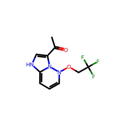 CC(=O)C1=CNC2=CC=CN(OCC(F)(F)F)N21